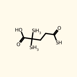 O=C(S)CCC([SiH3])([SiH3])C(=O)O